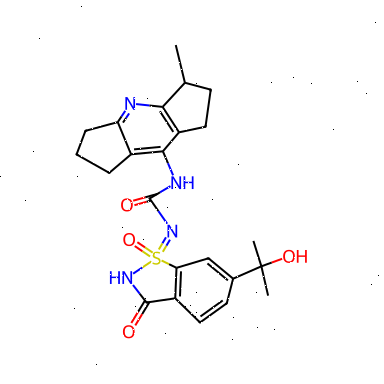 CC1CCc2c1nc1c(c2NC(=O)N=S2(=O)NC(=O)c3ccc(C(C)(C)O)cc32)CCC1